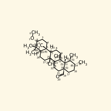 CO[C@@H]1CC[C@]2(C)[C@H]3CC=C4[C@@H]5[C@@H](C)[C@H](C)CC[C@]5(C=O)CC[C@@]4(C)[C@]3(C)CC[C@H]2C1(C)C